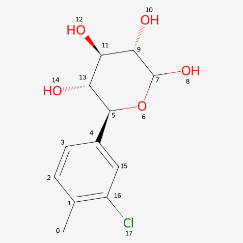 Cc1ccc([C@@H]2OC(O)[C@@H](O)[C@H](O)[C@H]2O)cc1Cl